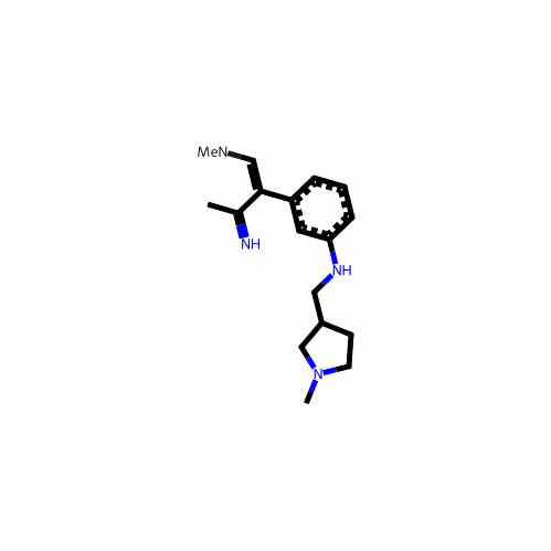 CN/C=C(\C(C)=N)c1cccc(NCC2CCN(C)C2)c1